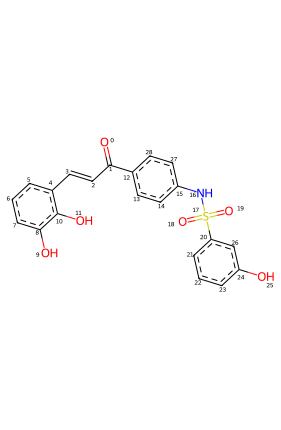 O=C(/C=C/c1cccc(O)c1O)c1ccc(NS(=O)(=O)c2cccc(O)c2)cc1